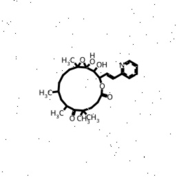 CC1CCCC2(C)OC2(O)C(O)C(C=Cc2ccccn2)OC(=O)CCC(C)(C)C(=O)C(C)C1